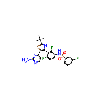 CC(C)(C)c1nc(-c2c(F)ccc(NS(=O)(=O)c3cccc(F)c3)c2F)c(-c2ccnc(N)n2)s1